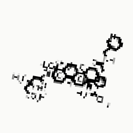 C=C(C)[C@@H]1CC[C@]2(CC(=O)NCc3cccnc3)CC[C@]3(C)[C@H](CC[C@@H]4[C@@]5(C)CC[C@H](OC(=O)CC(C)(C)CC(=O)O)C(C)(C)[C@@H]5CC[C@]43C)[C@@H]12